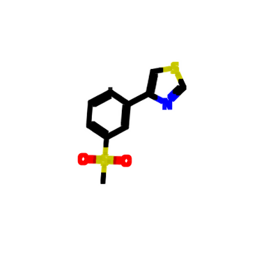 CS(=O)(=O)c1cc[c]c(-c2cscn2)c1